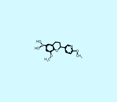 COc1ccc(C2CCc3cc(B(O)O)cc(OC)c3O2)cn1